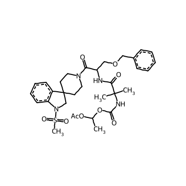 CC(=O)OC(C)OC(=O)NC(C)(C)C(=O)NC(COCc1ccccc1)C(=O)N1CCC2(CC1)CN(S(C)(=O)=O)c1ccccc12